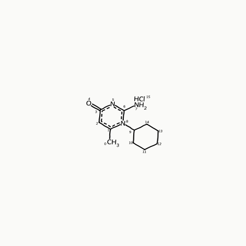 Cc1cc(=O)nc(N)n1C1CCCCC1.Cl